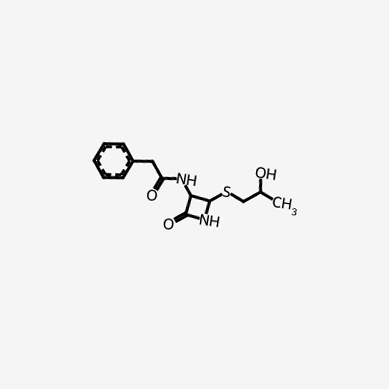 CC(O)CSC1NC(=O)C1NC(=O)Cc1ccccc1